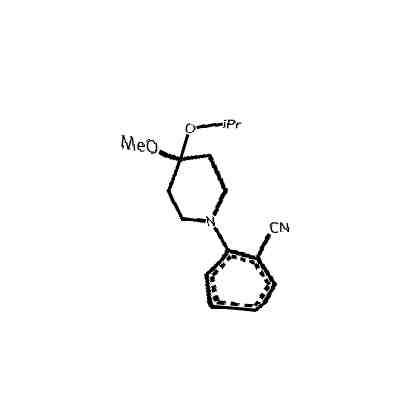 COC1(OC(C)C)CCN(c2ccccc2C#N)CC1